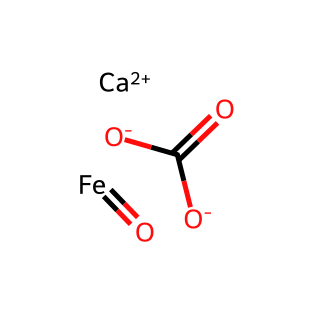 O=C([O-])[O-].[Ca+2].[O]=[Fe]